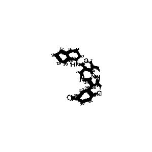 Cc1nn2c(C(C)C)c(C(=O)N[C@H]3CCCc4ccccc43)cnc2c1-c1cc(Cl)ccc1Cl